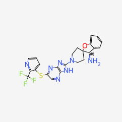 N[C@@H]1c2ccccc2OC12CCN(c1nc3nc(Sc4cccnc4C(F)(F)F)cnc3[nH]1)CC2